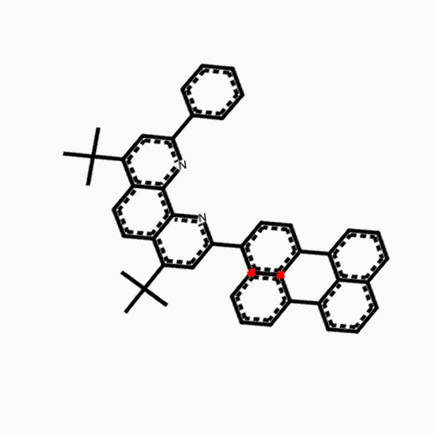 CC(C)(C)c1cc(-c2ccccc2)nc2c1ccc1c(C(C)(C)C)cc(-c3ccc(-c4cccc5cccc(-c6ccccc6)c45)cc3)nc12